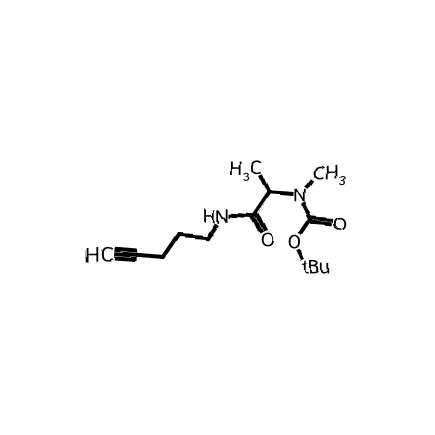 C#CCCCNC(=O)C(C)N(C)C(=O)OC(C)(C)C